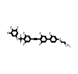 C=CCOc1ccc(-c2cc(F)c(C#Cc3cc(F)c(C(F)(F)Oc4cc(F)c(F)c(F)c4)c(F)c3)c(F)c2)c(F)c1